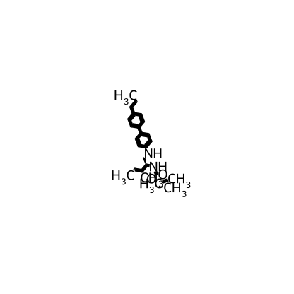 CCCc1ccc(-c2ccc(NC[C@@H](NC(=O)OC(C)(C)C)[C@@H](C)CC)cc2)cc1